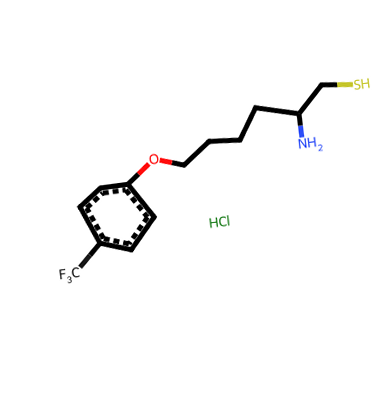 Cl.NC(CS)CCCCOc1ccc(C(F)(F)F)cc1